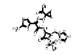 Nc1nc(/C(=N/OC2(C(=O)O)CC2)C(=O)NC2C(=O)N(S(=O)(=O)O)[C@@H]2Cn2cncn2)cs1